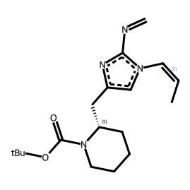 C=Nc1nc(C[C@@H]2CCCCN2C(=O)OC(C)(C)C)cn1/C=C\C